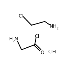 Cl.NCC(=O)Cl.NCCCl